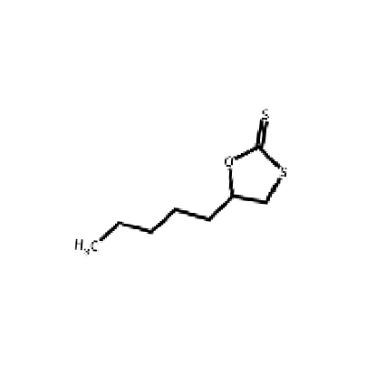 CCCCCC1CSC(=S)O1